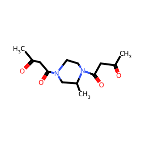 CC(=O)CC(=O)N1CCN(C(=O)CC(C)=O)C(C)C1